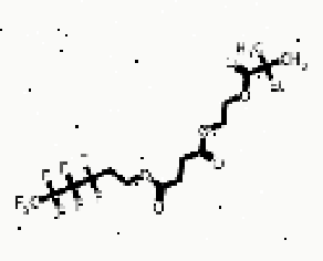 CCC(C)(C)C(=O)OCCOC(=O)CCC(=O)OCCC(F)(F)C(F)(F)C(F)(F)C(F)(F)F